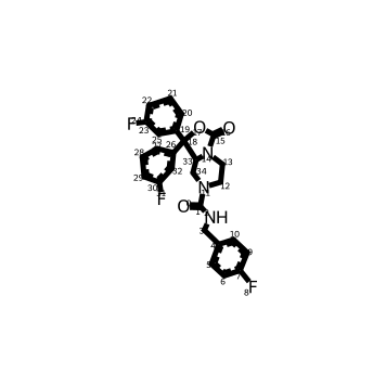 O=C(NCc1ccc(F)cc1)N1CCN2C(=O)OC(c3cccc(F)c3)(c3cccc(F)c3)C2C1